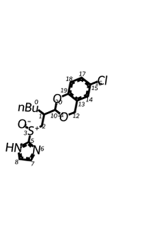 CCCCC(C[S+]([O-])c1ncc[nH]1)C1OCc2cc(Cl)ccc2O1